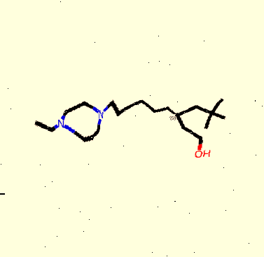 CCN1CCN(CCCCC[C@H](CCO)CC(C)(C)C)CC1